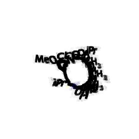 COc1cc2cc(c1Cl)N(C)C(=O)C[C@H](OC(=O)C(C)C)[C@@]1(C)O[C@H]1[C@H](C)[C@H]1OC(=O)N[C@](O)(C1C)[C@H](OC)/C=C/CC(C(C)C)C2